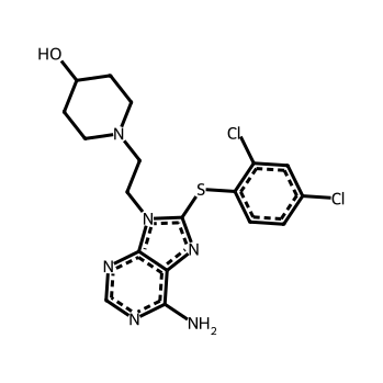 Nc1ncnc2c1nc(Sc1ccc(Cl)cc1Cl)n2CCN1CCC(O)CC1